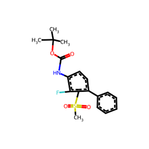 CC(C)(C)OC(=O)Nc1ccc(-c2ccccc2)c(S(C)(=O)=O)c1F